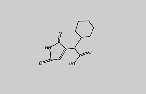 O=C1C=C(C(C(=O)O)C2CCCCC2)C(=O)N1